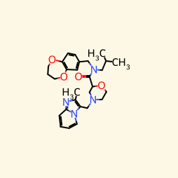 Cc1nc2ccccn2c1CN1CCOC(C(=O)N(Cc2ccc3c(c2)OCCCO3)CC(C)C)C1